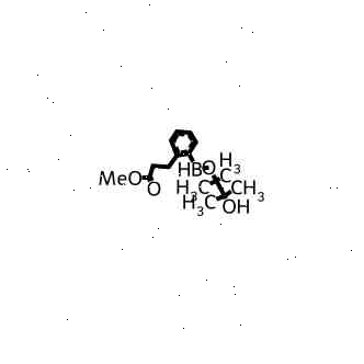 COC(=O)CCc1ccccc1BOC(C)(C)C(C)(C)O